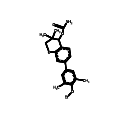 CCOc1c(C)cc(-c2ccc3c(c2)OCC(C)(C)C3OC(N)=O)cc1C